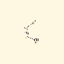 C/C=[CH]\[Zr]